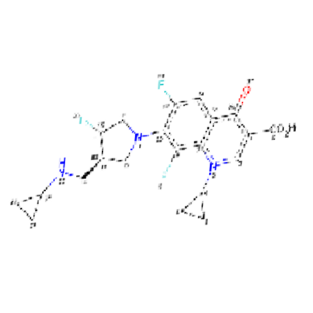 O=C(O)c1cn(C2CC2)c2c(F)c(N3C[C@@H](CNC4CC4)[C@H](F)C3)c(F)cc2c1=O